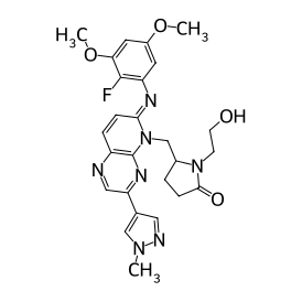 COc1cc(/N=c2\ccc3ncc(-c4cnn(C)c4)nc3n2CC2CCC(=O)N2CCO)c(F)c(OC)c1